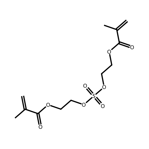 C=C(C)C(=O)OCCOS(=O)(=O)OCCOC(=O)C(=C)C